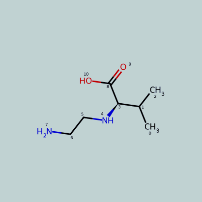 CC(C)[C@@H](NCCN)C(=O)O